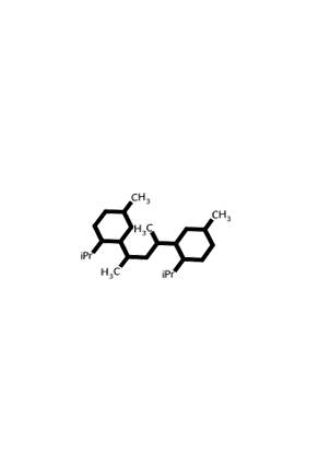 CC1CCC(C(C)C)C(C(C)CC(C)C2CC(C)CCC2C(C)C)C1